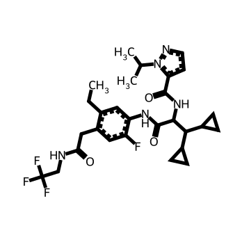 CCc1cc(NC(=O)C(NC(=O)c2ccnn2C(C)C)C(C2CC2)C2CC2)c(F)cc1CC(=O)NCC(F)(F)F